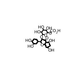 O=C(O)OC1OC(Oc2c(-c3ccc(O)c(O)c3)oc3cc(O)cc(O)c3c2=O)C(O)C(O)C1O